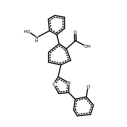 O=C(O)c1cc(-c2nc(-c3ccccc3Cl)cs2)ccc1-c1ccccc1NO